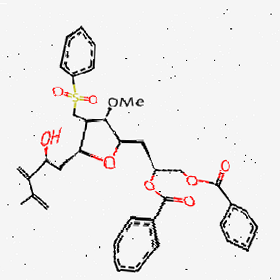 C=C(C)C(=C)[C@@H](O)C[C@@H]1OC(C[C@@H](COC(=O)c2ccccc2)OC(=O)c2ccccc2)[C@H](OC)C1CS(=O)(=O)c1ccccc1